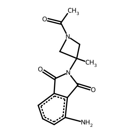 CC(=O)N1CC(C)(N2C(=O)c3cccc(N)c3C2=O)C1